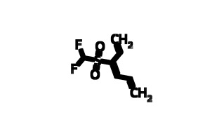 C=C/C=C(\C=C)S(=O)(=O)C(F)F